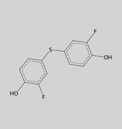 Oc1ccc(Sc2ccc(O)c(F)c2)cc1F